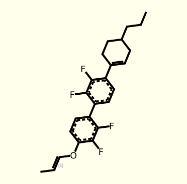 C/C=C/Oc1ccc(-c2ccc(C3=CCC(CCC)CC3)c(F)c2F)c(F)c1F